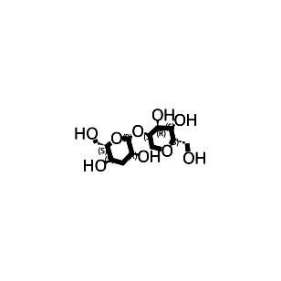 OC[C@@H]1OC[C@H](O[C@H]2O[C@@H](CO)[C@@H](O)C[C@H]2O)[C@H](O)[C@@H]1O